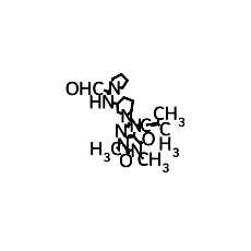 CC(C)=CCn1c(N2CCCC(NC(C=O)N3CCCC3)C2)nc2c1c(=O)n(C)c(=O)n2C